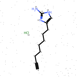 C#CCCCCCCc1c[nH]c(N)n1.Cl